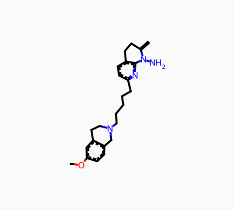 C=C1CCc2ccc(CCCCCN3CCc4cc(OC)ccc4C3)nc2N1N